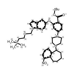 CC(C)(C)OC(=O)c1ccc(N2CCN(C3CCCCc4c3cccc4[N+](=O)[O-])CC2)cc1Oc1cnc2c(ccn2COCC[Si](C)(C)C)c1